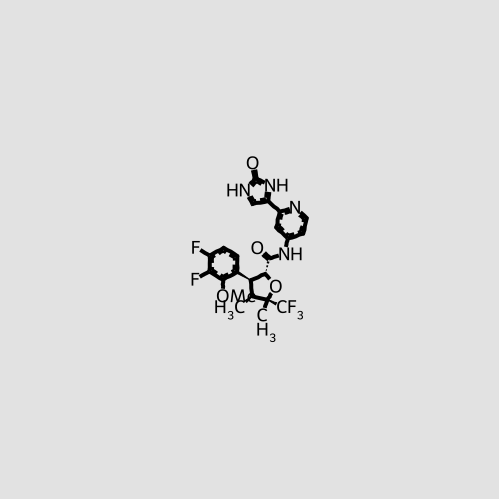 COc1c([C@H]2[C@H](C(=O)Nc3ccnc(-c4c[nH]c(=O)[nH]4)c3)O[C@@](C)(C(F)(F)F)[C@H]2C)ccc(F)c1F